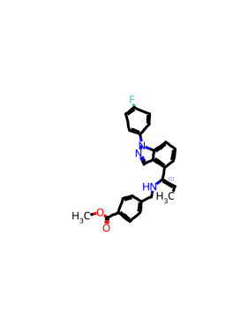 C/C=C(\NCc1ccc(C(=O)OC)cc1)c1cccc2c1cnn2-c1ccc(F)cc1